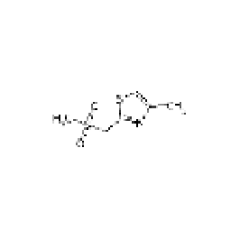 Cc1csc(CS(C)(=O)=O)n1